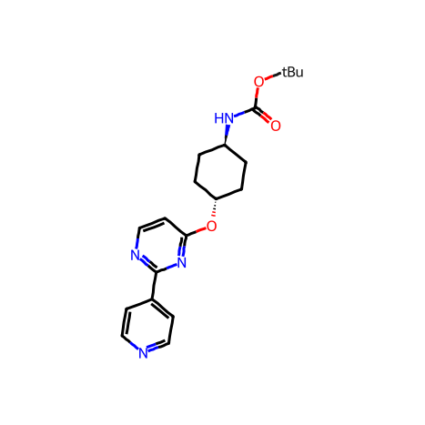 CC(C)(C)OC(=O)N[C@H]1CC[C@H](Oc2ccnc(-c3ccncc3)n2)CC1